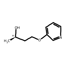 C[C@@H](O)CCOc1cccnc1